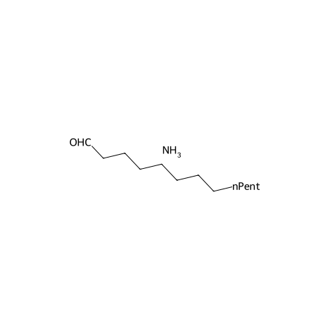 CCCCCCCCCCCCC=O.N